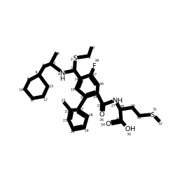 CCSC(NC(C)CC1CCCCC1)c1cc(-c2ccccc2C)c(C(=O)NC(CCSC)C(=O)O)cc1F